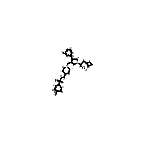 O=C(O)C(CC1CCC1)N1CC(CN2CCC(CCC(F)(F)c3ccc(F)cc3)CC2)C(c2cccc(F)c2)C1